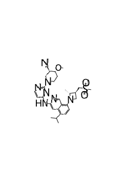 CO[C@@H]1CCN(c2nccc(Nc3cc4c(C(C)C)ccc(N5C[C@H](CS(C)(=O)=O)[C@H]5C)c4cn3)n2)C[C@H]1C#N